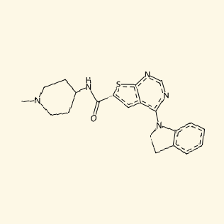 CN1CCC(NC(=O)c2cc3c(N4CCc5ccccc54)ncnc3s2)CC1